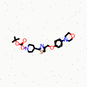 CC(C)(C)OC(=O)ON1CCC(c2nc(COc3ccc(N4CCOCC4)cc3)cs2)CC1